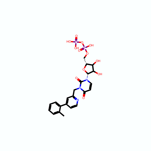 Cc1ccccc1-c1ccnc(Cn2c(=O)ccn([C@@H]3O[C@H](COP(=O)(O)OP(=O)(O)O)C(O)C3O)c2=O)c1